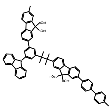 CCCCCCCCC1(CCCCCCCC)c2cc(C)ccc2-c2ccc(-c3cc(-n4c5ccccc5c5ccccc54)cc(C(C)(C)C(C)(C)c4ccc5c(c4)C(CCCCCCCC)(CCCCCCCC)c4cc(-c6ccc(-c7ccc(C)cc7)cc6)ccc4-5)c3)cc21